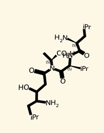 CC(C)CC(N)C(O)CC(=O)N(C(=O)[C@@H](NC(=O)[C@@H](N)CC(C)C)C(C)C)[C@@H](C)C(=O)O